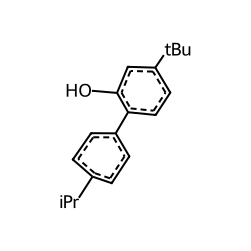 CC(C)c1ccc(-c2ccc(C(C)(C)C)cc2O)cc1